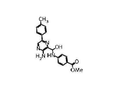 COC(=O)c1ccc(NC(O)c2nc(-c3ccc(C)cc3)cnc2N)cc1